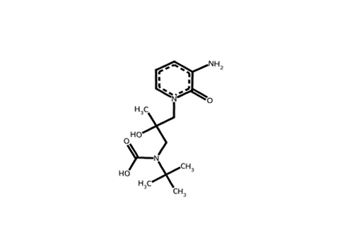 CC(O)(CN(C(=O)O)C(C)(C)C)Cn1cccc(N)c1=O